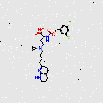 O=C(N[C@@H](CCN(CCCCc1ccc2c(n1)NCCC2)C1CC1)C(=O)O)OCc1cc(F)cc(F)c1